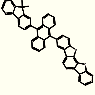 CC1(C)c2ccccc2-c2ccc(-c3c4ccccc4c(-c4ccc5oc6c(ccc7c8ccccc8oc76)c5c4)c4ccccc34)cc21